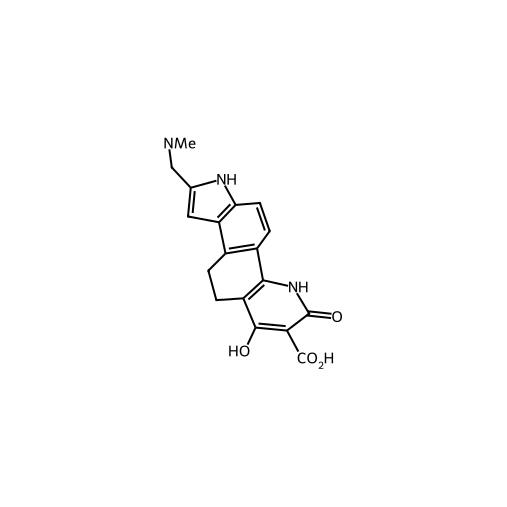 CNCc1cc2c3c(ccc2[nH]1)-c1[nH]c(=O)c(C(=O)O)c(O)c1CC3